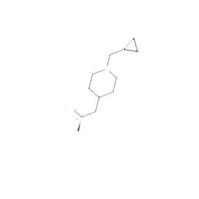 C[C@@H](O)CC1CCN(CC2CC2)CC1